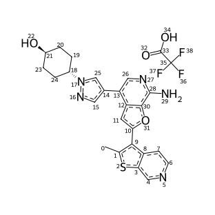 Cc1sc2cnccc2c1-c1cc2c(-c3cnn([C@H]4CC[C@H](O)CC4)c3)cnc(N)c2o1.O=C(O)C(F)(F)F